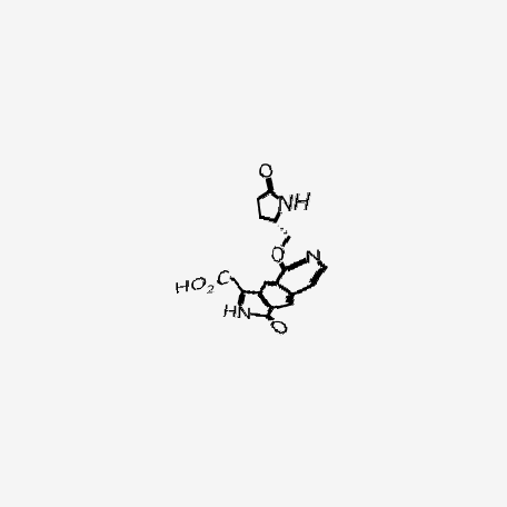 O=C(O)Cc1c[nH]c(=O)c2cc3ccnc(OC[C@@H]4CCC(=O)N4)c3cc12